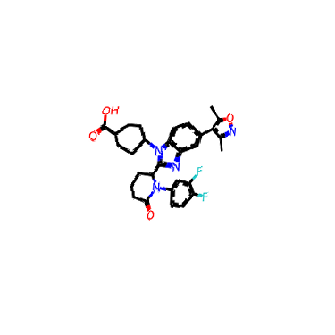 Cc1noc(C)c1-c1ccc2c(c1)nc(C1CCCC(=O)N1c1ccc(F)c(F)c1)n2C1CCC(C(=O)O)CC1